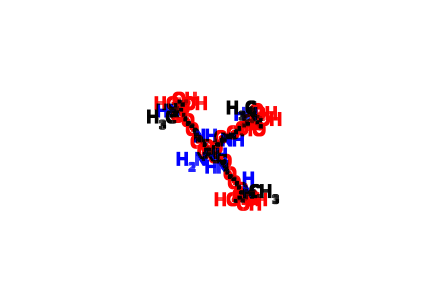 CC(=O)NC1[C@H](OCCOCCOCCNC(=O)CCOCC(COCCC(=O)NCCOCCOCCO[C@@H]2OC(CO)[C@H](O)[C@H](O)C2NC(C)=O)(COCCC(=O)NCCOCCOCCO[C@@H]2OC(CO)[C@H](O)[C@H](O)C2NC(C)=O)NC(=O)CN)OC(CO)[C@H](O)[C@@H]1O